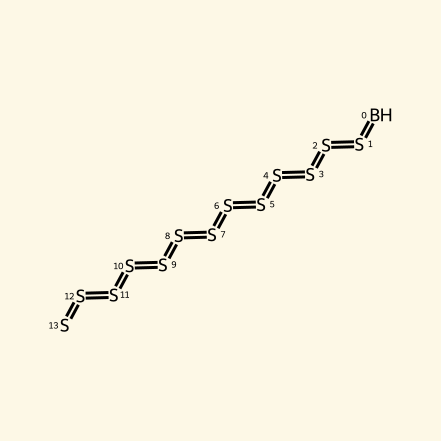 B=S=S=S=S=S=S=S=S=S=S=S=S=S